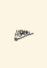 CCCCCCCCCCCCCCCC[N+](C)(C)C.OCC(O)CO.[OH-]